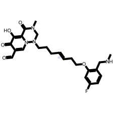 CNCc1ccc(F)cc1OCC/C=C/CCCN1CN(C)C(=O)c2c(O)c(=O)c(C=O)cn21